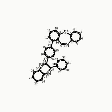 C1=Nc2ccccc2Sc2cccc(-c3ccc(-c4nc5ccccc5nc4-c4ccccc4)cc3)c21